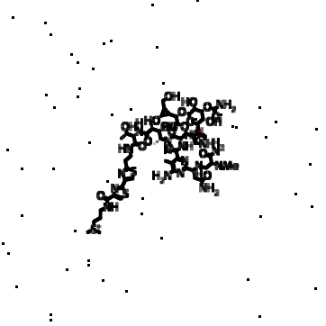 CN[C@@H](CN[C@@H](CC(N)=O)c1nc(N)c(C)c(C(=O)N[C@H](C(=O)N[C@H](C)[C@@H](O)[C@H](C)C(=O)N[C@H](C(=O)NCCc2nc(-c3nc(C(=O)NCCC[S+](C)C)cs3)cs2)[C@@H](C)O)[C@@H](O[C@H](O)[C@@H](O[C@H]2OC(CO)[C@@H](O)[C@@H](OC(N)=O)C2O)C2C(CO)[C@H]2O)c2c[nH]cn2)n1)C(N)=O